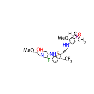 COCC(O)CN1CC[C@@H](Nc2cccc3c(CC(F)(F)F)c(C#CCNc4ccc(P(C)(C)=O)cc4OC)sc23)[C@@H](F)C1